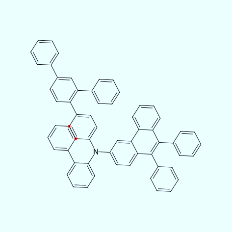 c1ccc(-c2ccc(-c3ccc(N(c4ccc5c(-c6ccccc6)c(-c6ccccc6)c6ccccc6c5c4)c4ccccc4-c4ccccc4)cc3)c(-c3ccccc3)c2)cc1